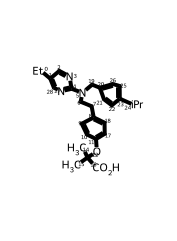 CCc1cnc(N(CCc2ccc(OC(C)(C)C(=O)O)cc2)Cc2ccc(C(C)C)cc2)nc1